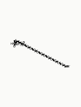 [N-]=[N+]=NCCOCCOCCOCCOCCOCCOCCOCCOCCOCCOCCOCCNC(=O)CCCCC1SCC2NC(=O)NC21